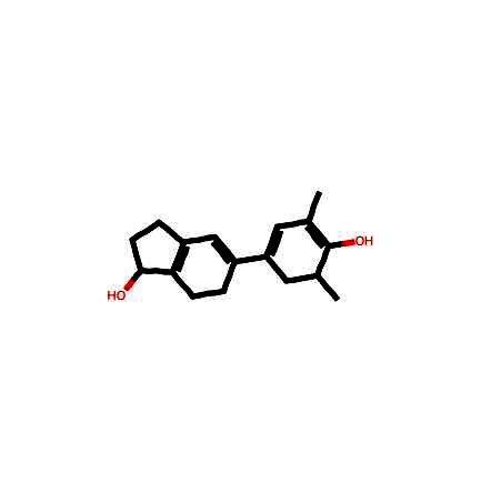 CC1=C(O)C(C)CC(C2=CC3=C(CC2)C(O)CC3)=C1